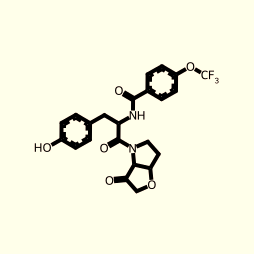 O=C(NC(Cc1ccc(O)cc1)C(=O)N1CCC2OCC(=O)C21)c1ccc(OC(F)(F)F)cc1